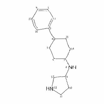 c1ccc(C2CCC(NC3CCNC3)CC2)cc1